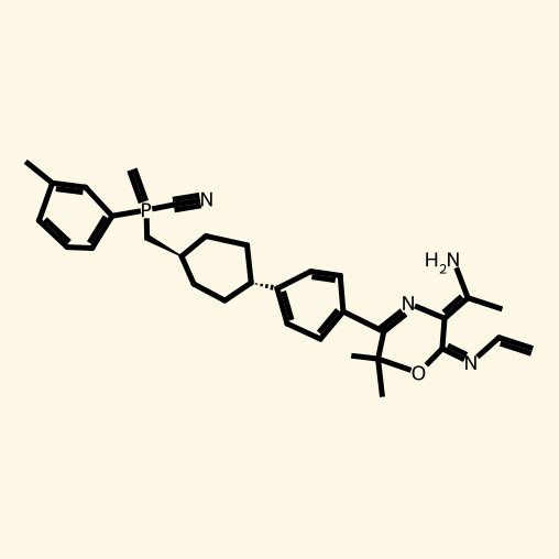 C=C/N=C1/OC(C)(C)C(c2ccc([C@H]3CC[C@H](CP(=C)(C#N)c4cccc(C)c4)CC3)cc2)=N/C1=C(/C)N